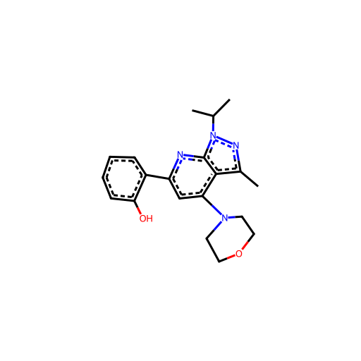 Cc1nn(C(C)C)c2nc(-c3ccccc3O)cc(N3CCOCC3)c12